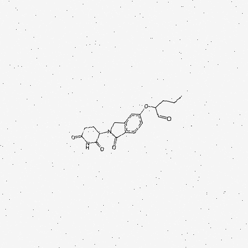 CCCC(C=O)Oc1ccc2c(c1)CN(C1CCC(=O)NC1=O)C2=O